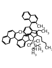 CCCCC1=Cc2c(-c3c(C)ccc4ccccc34)cccc2[CH]1[Zr]([Cl])([Cl])([CH]1C(CCCC)=Cc2c(-c3c(C)ccc4ccccc34)cccc21)[SiH](C)C